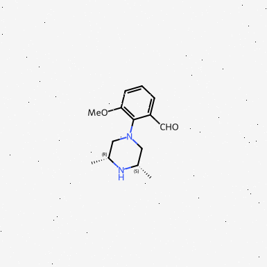 COc1cccc(C=O)c1N1C[C@@H](C)N[C@@H](C)C1